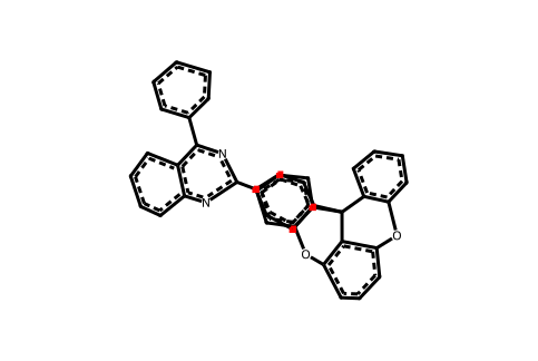 c1ccc(-c2nc(-c3ccc(C45c6ccccc6Oc6cccc(c64)Oc4ccccc45)cc3)nc3ccccc23)cc1